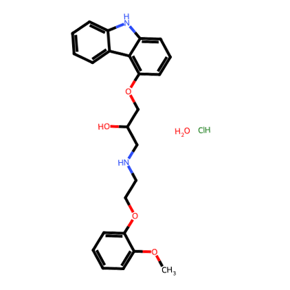 COc1ccccc1OCCNCC(O)COc1cccc2[nH]c3ccccc3c12.Cl.O